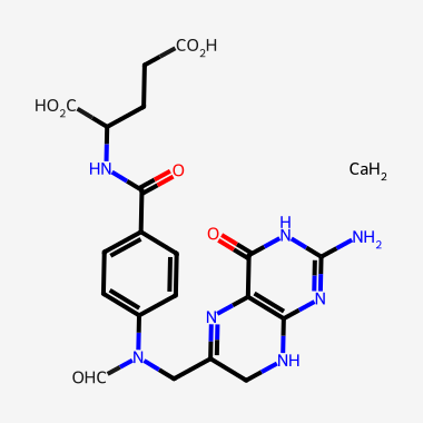 Nc1nc2c(c(=O)[nH]1)N=C(CN(C=O)c1ccc(C(=O)NC(CCC(=O)O)C(=O)O)cc1)CN2.[CaH2]